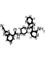 N#Cc1nc2cc(F)cc(C(=O)NC3CCN(n4c(-c5cccnc5N)nc5cccnc54)CC3)c2s1